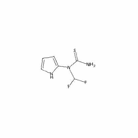 NC(=S)N(c1ccc[nH]1)C(F)F